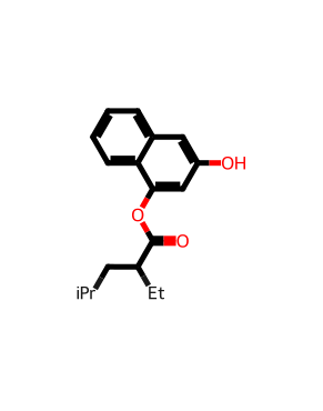 CCC(CC(C)C)C(=O)Oc1cc(O)cc2ccccc12